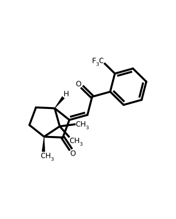 CC1(C)[C@@H]2CC[C@@]1(C)C(=O)/C2=C/C(=O)c1ccccc1C(F)(F)F